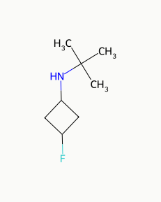 CC(C)(C)NC1CC(F)C1